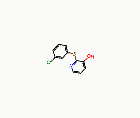 Oc1cccnc1Sc1cccc(Cl)c1